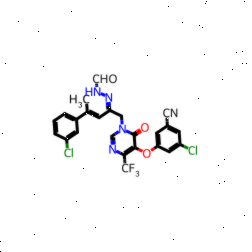 C/C(=C\C(Cn1cnc(C(F)(F)F)c(Oc2cc(Cl)cc(C#N)c2)c1=O)=N/NC=O)c1cccc(Cl)c1